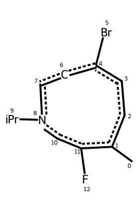 Cc1ccc(Br)ccn(C(C)C)cc1F